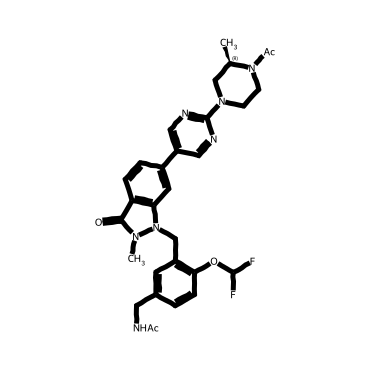 CC(=O)NCc1ccc(OC(F)F)c(Cn2c3cc(-c4cnc(N5CCN(C(C)=O)[C@H](C)C5)nc4)ccc3c(=O)n2C)c1